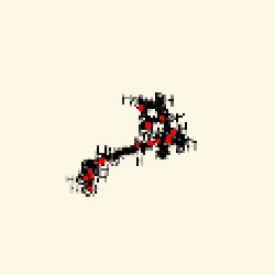 O=C[C@H](CCCCNC(=O)CCCCCCC(=O)NCCCC[C@@H](NC(=O)[C@@H](Cc1ccccc1)NC(=O)[C@@H](Cc1ccc(O)c(I)c1)NC(=O)CCC(C(=O)O)N1CCN(CC(=O)O)CCN(CC(=O)O)CCN(CC(=O)O)CC1)C(=O)O)NC(=O)N[C@@H](CCC(=O)O)C(=O)O